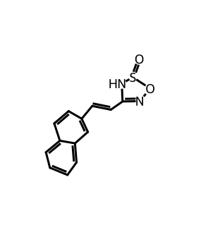 O=S1NC(C=Cc2ccc3ccccc3c2)=NO1